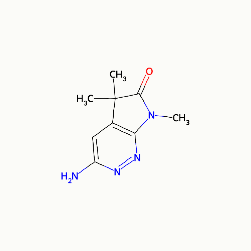 CN1C(=O)C(C)(C)c2cc(N)nnc21